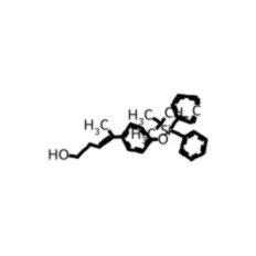 CC(=CCCO)c1ccc(O[Si](c2ccccc2)(c2ccccc2)C(C)(C)C)cc1